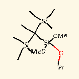 CO[Si](OC)(OC(C)C)C(C)([Si](C)(C)C)[Si](C)(C)C